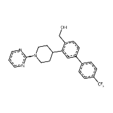 OCc1ccc(-c2ccc(C(F)(F)F)cc2)cc1C1CCN(c2ncccn2)CC1